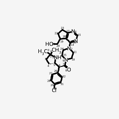 CC1(C)CC[C@@H]([C@@H](C(=O)N2CCN(c3ncnc4c3C(CO)CC4)CC2)c2ccc(Cl)cc2)N1